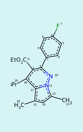 CCOC(=O)c1c(-c2ccc(F)cc2)nn2c(C)cc(C)c2c1C(C)C